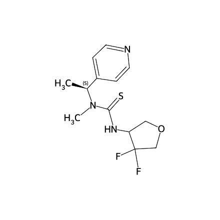 C[C@@H](c1ccncc1)N(C)C(=S)NC1COCC1(F)F